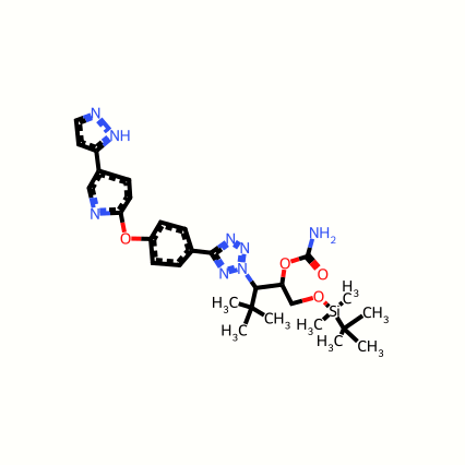 CC(C)(C)C(C(CO[Si](C)(C)C(C)(C)C)OC(N)=O)n1nnc(-c2ccc(Oc3ccc(-c4ccn[nH]4)cn3)cc2)n1